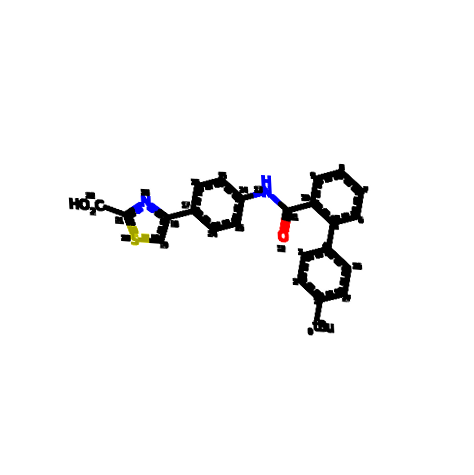 CC(C)(C)c1ccc(-c2ccccc2C(=O)Nc2ccc(-c3csc(C(=O)O)n3)cc2)cc1